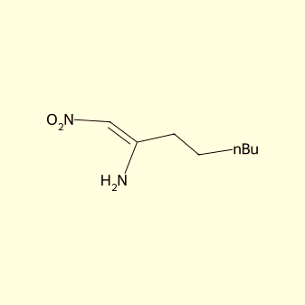 CCCCCCC(N)=C[N+](=O)[O-]